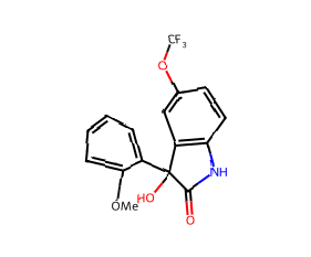 COc1ccccc1C1(O)C(=O)Nc2ccc(OC(F)(F)F)cc21